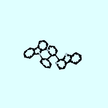 c1ccc(-n2c3ccccc3c3ccccc32)c(-c2ncccc2-c2nccc3c2oc2ccccc23)c1